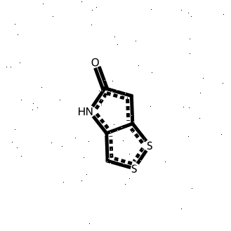 O=c1cc2sscc-2[nH]1